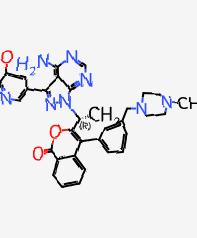 C[C@H](c1oc(=O)c2ccccc2c1-c1cccc(CN2CCN(C)CC2)c1)n1nc(-c2cncc(O)c2)c2c(N)ncnc21